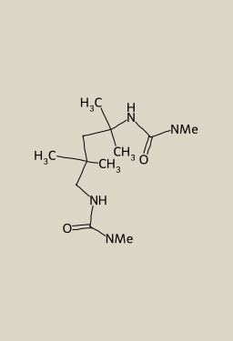 CNC(=O)NCC(C)(C)CC(C)(C)NC(=O)NC